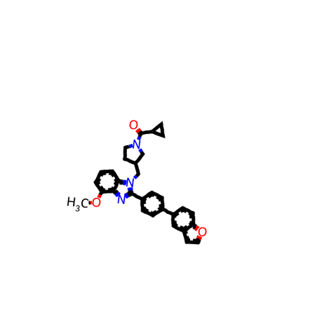 COc1cccc2c1nc(-c1ccc(-c3ccc4occc4c3)cc1)n2CC1CCN(C(=O)C2CC2)C1